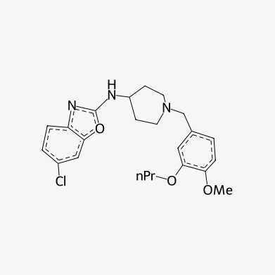 CCCOc1cc(CN2CCC(Nc3nc4ccc(Cl)cc4o3)CC2)ccc1OC